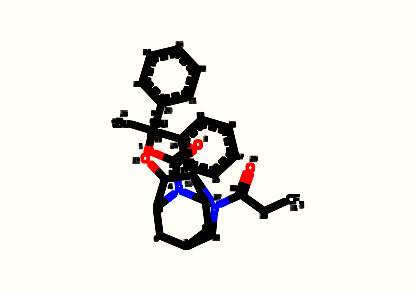 CC(C)(C)OC(=O)N1C2CC3CC1C(C2O[Si](c1ccccc1)(c1ccccc1)C(C)(C)C)N(C(=O)CC(F)(F)F)C3